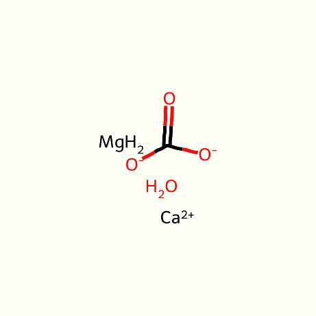 O.O=C([O-])[O-].[Ca+2].[MgH2]